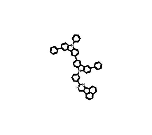 c1ccc(-c2ccc3c(c2)c2cc(-c4ccc5c(c4)c4cc(-c6ccccc6)ccc4n5-c4cccc(-c5ncc6c(n5)-c5cccc7cccc-6c57)c4)ccc2n3-c2ccccc2)cc1